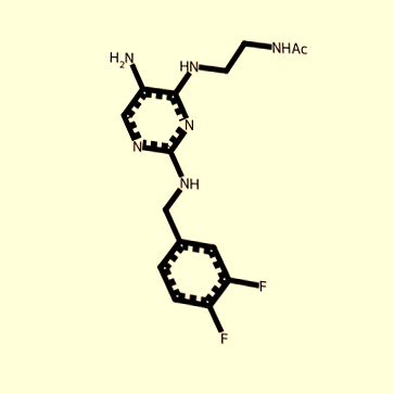 CC(=O)NCCNc1nc(NCc2ccc(F)c(F)c2)ncc1N